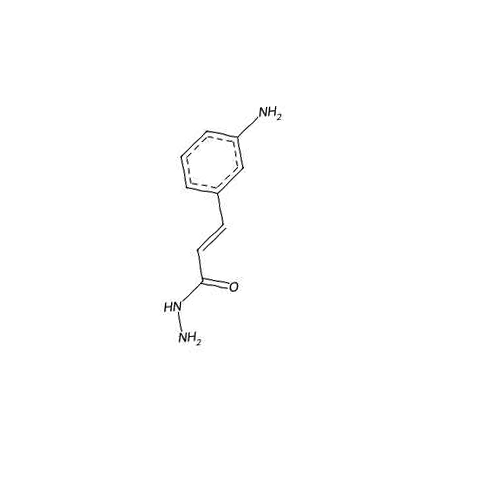 NNC(=O)C=Cc1cccc(N)c1